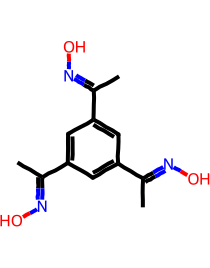 CC(=NO)c1cc(C(C)=NO)cc(C(C)=NO)c1